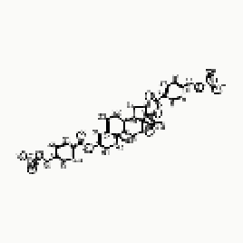 CC(=O)[C@@]1(OC(=O)c2ccc(CO[N+](=O)[O-])cc2)CCC2C3CC=C4C=C(OC(=O)c5ccc(CO[N+](=O)[O-])cc5)CCC4(C)C3CCC21C